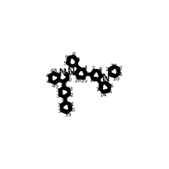 C1=CC2c3cc(-c4ccc5c(c4)c4ccccc4n5-c4ccccc4)ccc3N(c3cc(-c4ccc(-c5ccccc5)cc4)c4ccccc4n3)C2C=C1